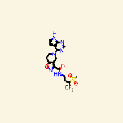 CS(=O)(=O)C(CCNC(=O)c1noc2c1CN(c1ncnc3[nH]ccc13)CC2)C(F)(F)F